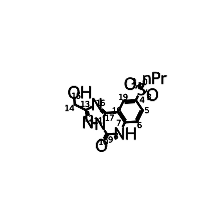 CCCS(=O)(=O)c1ccc2[nH]c(=O)n3nc(CO)nc3c2c1